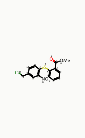 COC(=O)c1ccccc1Sc1ccc(CCl)cc1[N+](=O)[O-]